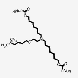 CCCCCCCCCC(=O)OCCCCCCCN(CCCCCCCOC(=O)CCCCCCCCC)CCOCCCCN(C)C